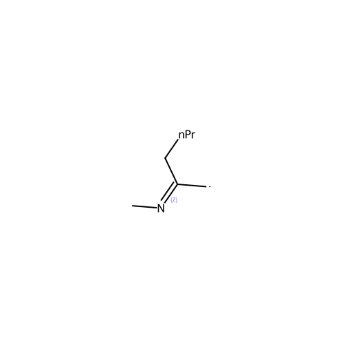 [CH2]/C(CCCC)=N/C